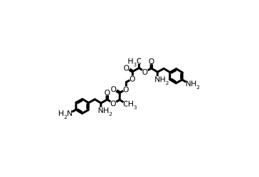 CC(OC(=O)C(N)Cc1ccc(N)cc1)C(=O)OCOC(=O)C(C)OC(=O)C(N)Cc1ccc(N)cc1